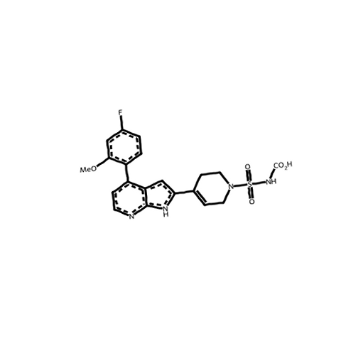 COc1cc(F)ccc1-c1ccnc2[nH]c(C3=CCN(S(=O)(=O)NC(=O)O)CC3)cc12